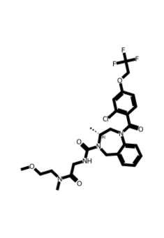 COCCN(C)C(=O)CNC(=O)N1Cc2ccccc2N(C(=O)c2ccc(OCC(F)(F)F)cc2Cl)C[C@H]1C